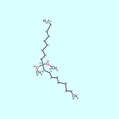 CCCCCCCCC[Si](CCCCCCCCC)(OC)OC